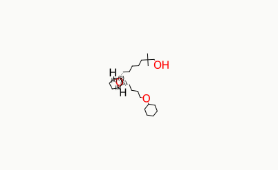 CC(C)(CO)CCCCC[C@@H]1[C@H](CCCCOC2CCCCC2)[C@@H]2CC[C@H]1O2